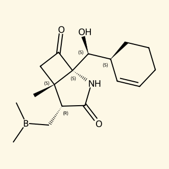 CB(C)C[C@H]1C(=O)N[C@@]2([C@@H](O)[C@@H]3C=CCCC3)C(=O)C[C@@]12C